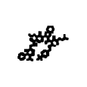 CCCC(NC(=O)[C@@H]1CC2(CN1C(=O)[C@@H](NC(=O)OCC(C)C)[C@@H](C)OCc1ccc(C(C)(C)C)cc1)SCCCS2)C(=O)C(=O)NCC(=O)N[C@H](C(=O)N(C)C)c1ccccc1